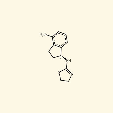 Cc1cccc2c1CC[C@@H]2NC1=NCCS1